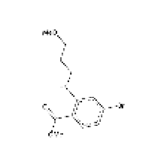 COCCCNc1cc(Br)ccc1C(=O)OC